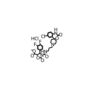 COC(=O)C1OC(=O)N(C(=O)NCCCN2CCC3(CC2)OC(=O)Nc2ccc(Cl)cc23)C1c1ccc(F)c(F)c1.Cl